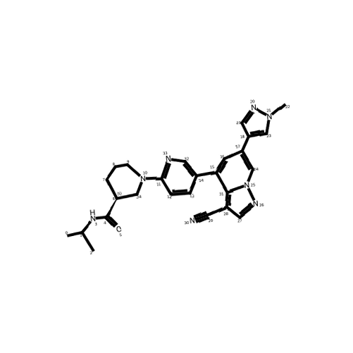 CC(C)NC(=O)[C@H]1CCCN(c2ccc(-c3cc(-c4cnn(C)c4)cn4ncc(C#N)c34)cn2)C1